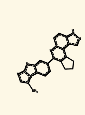 Nc1cnc2sc3cc(-c4nc5ccc6[nH]ncc6c5c5c4CCC5)ccc3n12